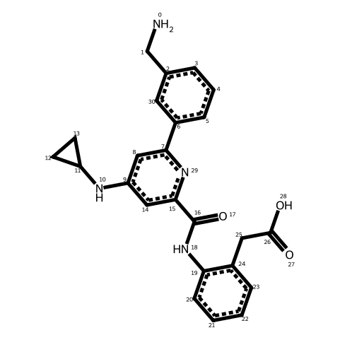 NCc1cccc(-c2cc(NC3CC3)cc(C(=O)Nc3ccccc3CC(=O)O)n2)c1